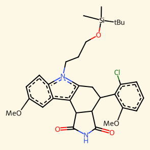 COc1ccc2c(c1)c1c(n2CCCO[Si](C)(C)C(C)(C)C)CC(c2c(Cl)cccc2OC)C2C(=O)NC(=O)C12